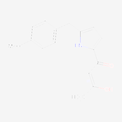 COc1ccc(Cc2ccc(C(=O)/C=C(\O)C(=O)O)[nH]2)cc1